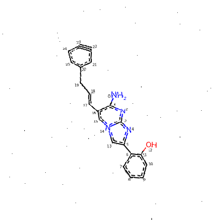 Nc1nc2nc(-c3ccccc3O)cn2cc1/C=C/Cc1cc#ccc1